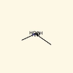 CCCCCCCCCCCCC/C=C/[C@@H](O)[C@H](CO)NC(=O)CCCCCCCCCCCCCCCCC